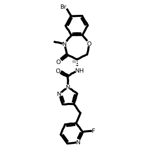 CN1C(=O)[C@@H](NC(=O)n2cc(Cc3cccnc3F)cn2)COc2ccc(Br)cc21